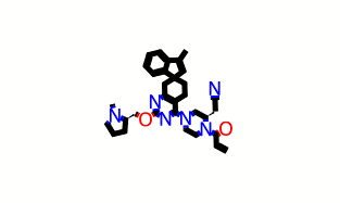 C=CC(=O)N1CCN(c2nc(OC[C@@H]3CCCN3C)nc3c2CCC2(C=C(C)c4ccccc42)C3)C[C@@H]1CC#N